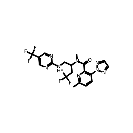 Cc1ccc(-n2nccn2)c(C(=O)N(C)C(CNc2ncc(C(F)(F)F)cn2)CC(F)(F)F)n1